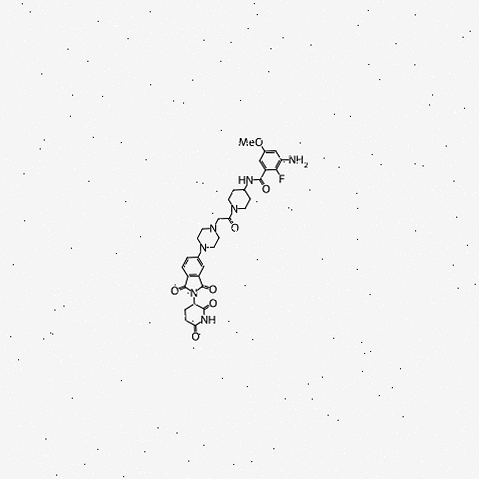 COc1cc(N)c(F)c(C(=O)NC2CCN(C(=O)CN3CCN(c4ccc5c(c4)C(=O)N(C4CCC(=O)NC4=O)C5=O)CC3)CC2)c1